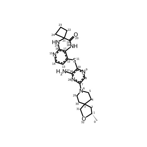 C[C@H]1CC2(CCN(c3cnc(Sc4ccnc5c4NC(=O)C4(CCC4)N5)c(N)n3)CC2)CO1